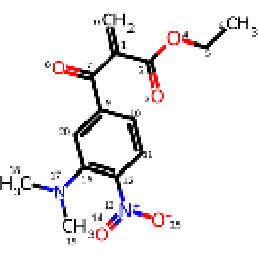 C=C(C(=O)OCC)C(=O)c1ccc([N+](=O)[O-])c(N(C)C)c1